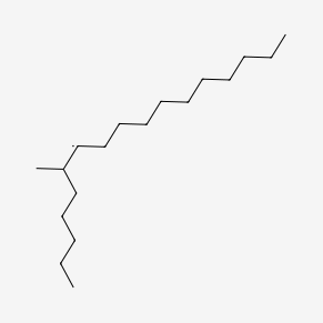 CCCCCCCCCC[CH]C(C)CCCCC